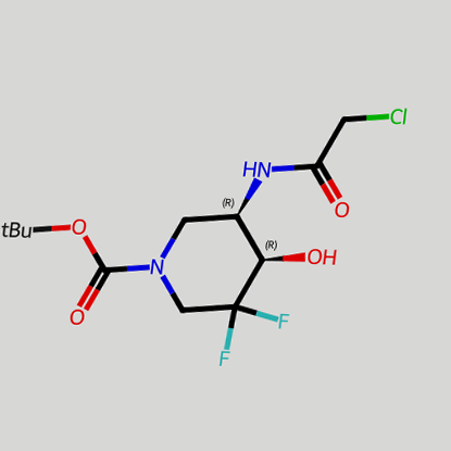 CC(C)(C)OC(=O)N1C[C@@H](NC(=O)CCl)[C@@H](O)C(F)(F)C1